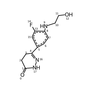 O=C1CCC(c2ccc(NCCO)c(F)c2)=NN1